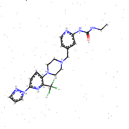 CCNC(=O)Nc1cc(CN2CCN(c3ccc(-n4cccn4)nc3C(F)(F)F)CC2)ccn1